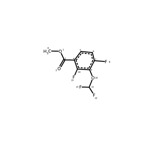 COC(=O)c1ccc(F)c(OC(F)F)c1F